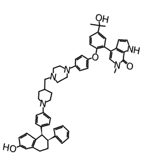 Cn1cc(-c2cc(C(C)(C)O)ccc2Oc2ccc(N3CCN(CC4CCN(c5ccc([C@@H]6c7ccc(O)cc7CC[C@@H]6c6ccccc6)cc5)CC4)CC3)cc2)c2cc[nH]c2c1=O